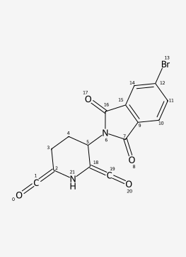 O=C=C1CCC(N2C(=O)c3ccc(Br)cc3C2=O)C(=C=O)N1